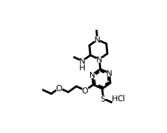 CCOCCOc1nc(N2CCN(C)CC2NC)ncc1SC.Cl